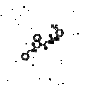 Cc1cccc(NC(=O)NCC(=O)N(CC(=O)NCc2ccccc2)c2ccccc2)c1